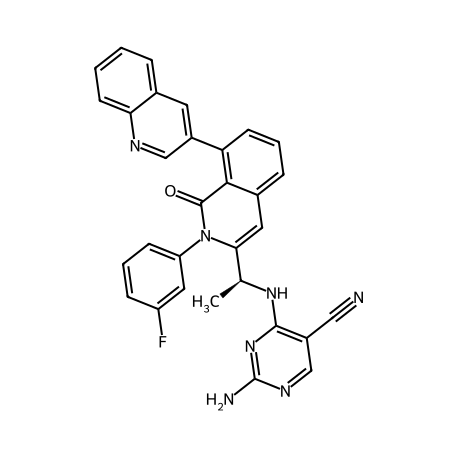 C[C@H](Nc1nc(N)ncc1C#N)c1cc2cccc(-c3cnc4ccccc4c3)c2c(=O)n1-c1cccc(F)c1